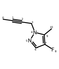 CC#CCn1n[c]c(F)c1C